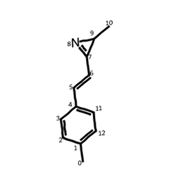 Cc1ccc(/C=C/C2=NC2C)cc1